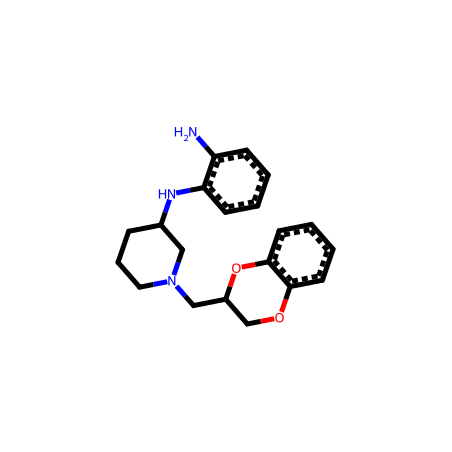 Nc1ccccc1NC1CCCN(CC2COc3ccccc3O2)C1